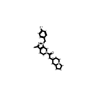 Cc1nn(Cc2ccc(F)cc2)c2c1CCN(C(=O)CC1CCN3CCCC3C1)C2